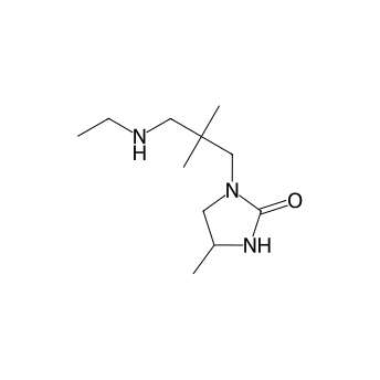 CCNCC(C)(C)CN1CC(C)NC1=O